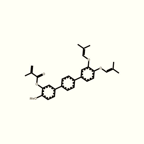 C=C(C)C(=O)Oc1cc(-c2ccc(-c3ccc(OC=C(C)C)c(OC=C(C)C)c3)cc2)ccc1OC